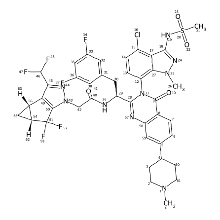 CN1CCC(c2ccc3c(=O)n(-c4ccc(Cl)c5c(NS(C)(=O)=O)nn(C)c45)c([C@H](Cc4cc(F)cc(F)c4)NC(=O)Cn4nc(C(F)F)c5c4C(F)(F)[C@@H]4C[C@H]54)nc3c2)CC1